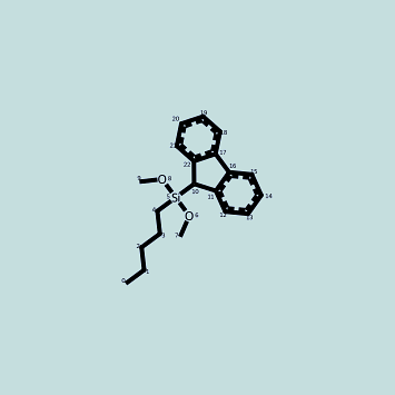 CCCCC[Si](OC)(OC)C1c2ccccc2-c2ccccc21